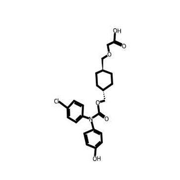 O=C(O)COC[C@H]1CC[C@H](COC(=O)N(c2ccc(O)cc2)c2ccc(Cl)cc2)CC1